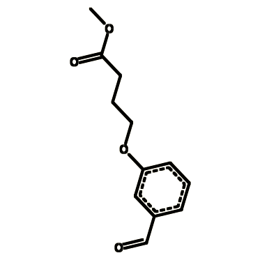 COC(=O)CCCOc1cccc(C=O)c1